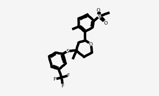 Cc1ccc(S(C)(=O)=O)cc1C1CC(C)(Sc2cccc(C(F)(F)F)c2)CCO1